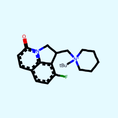 CC(C)(C)[N+]1(CC2Cn3c(=O)ccc4ccc(F)c2c43)CC[CH]CC1